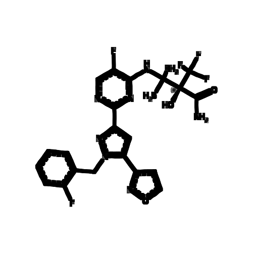 BC(B)(Nc1nc(-c2cc(-c3ccon3)n(Cc3ccccc3F)n2)ncc1F)[C@@](O)(C(N)=O)C(F)(F)F